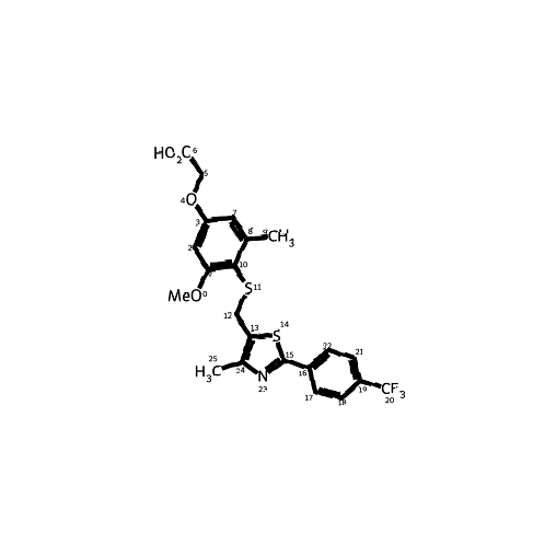 COc1cc(OCC(=O)O)cc(C)c1SCc1sc(-c2ccc(C(F)(F)F)cc2)nc1C